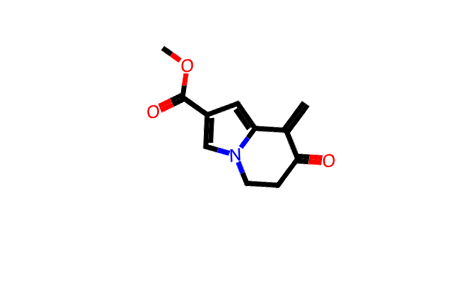 C=C1C(=O)CCn2cc(C(=O)OC)cc21